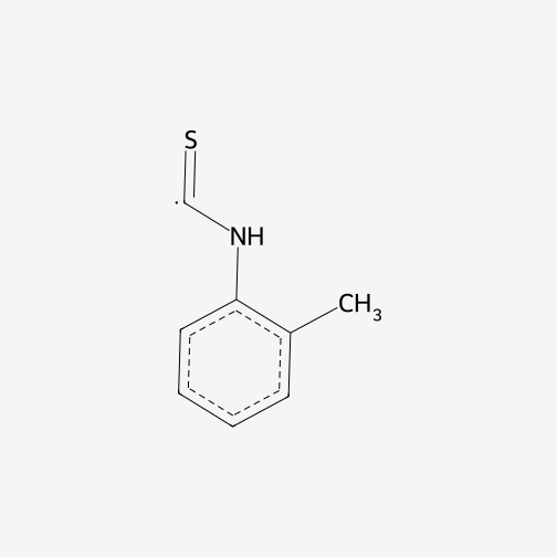 Cc1ccccc1N[C]=S